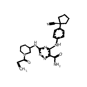 C=CC(=O)N1CCCC(Nc2nnc(C(N)=O)c(Nc3ccc(C4(C#N)CCCC4)cc3)n2)C1